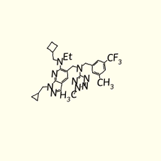 CCN(CC1CCC1)c1nc2c(cnn2CC2CC2)cc1CN(Cc1cc(C)cc(C(F)(F)F)c1)c1nnn(C)n1